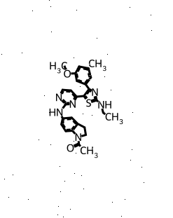 CCNc1nc(-c2cc(C)cc(OC)c2)c(-c2ccnc(Nc3ccc4c(c3)CCN4C(C)=O)n2)s1